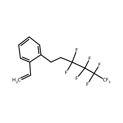 C=Cc1ccccc1CCC(F)(F)C(F)(F)C(F)(F)C(F)(F)F